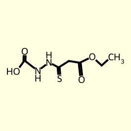 CCOC(=O)CC(=S)NNC(=O)O